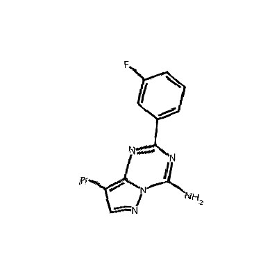 CC(C)c1cnn2c(N)nc(-c3cccc(F)c3)nc12